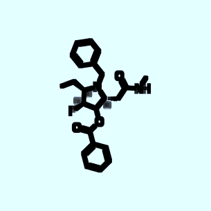 CC[C@@H]1[C@H](F)C(OC(=O)c2ccccc2)[C@@H](CC(=O)NC)N1Cc1ccccc1